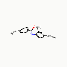 COc1ccc(NC(=O)c2ccc([N+](=O)[O-])cc2)c(OC)c1